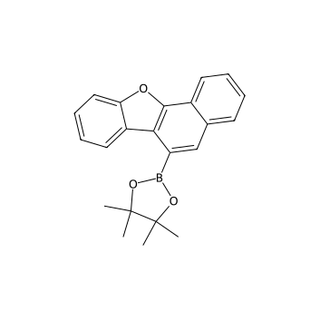 CC1(C)OB(c2cc3ccccc3c3oc4ccccc4c23)OC1(C)C